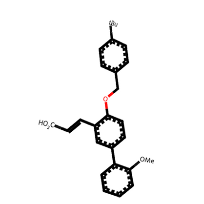 COc1ccccc1-c1ccc(OCc2ccc(C(C)(C)C)cc2)c(C=CC(=O)O)c1